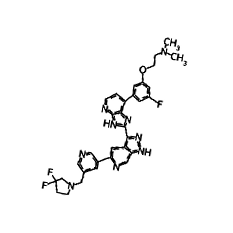 CN(C)CCOc1cc(F)cc(-c2ccnc3[nH]c(-c4n[nH]c5cnc(-c6cncc(CN7CCC(F)(F)C7)c6)cc45)nc23)c1